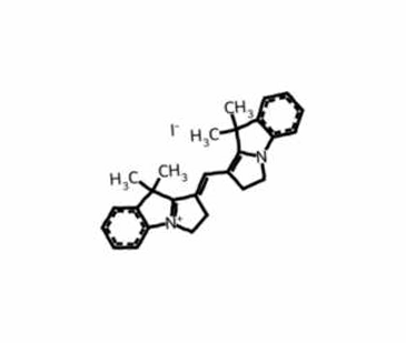 CC1(C)C2=C(C=C3CC[N+]4=C3C(C)(C)c3ccccc34)CCN2c2ccccc21.[I-]